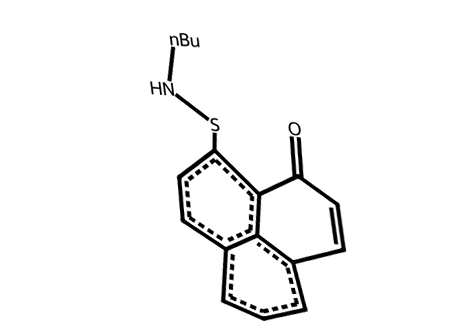 CCCCNSc1ccc2cccc3c2c1C(=O)C=C3